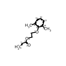 C=CC(=O)OCCOc1c(C)cccc1C